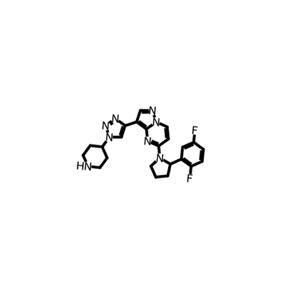 Fc1ccc(F)c(C2CCCN2c2ccn3ncc(-c4cn(C5CCNCC5)nn4)c3n2)c1